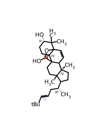 C[C@H](C/C=C/C(C)(C)C)C1CC[C@@]2(C)C3C=CC45OC(O)C3(CCC12C)[C@@H]4CC[C@H](O)C5(C)C